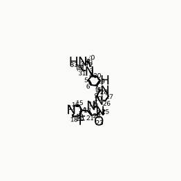 C[C@@H]1CN(c2ccc([C@H]3CN(c4nc(-c5ccncc5F)cc(=O)n4C)CCN3)cc2)C[C@H](C)N1